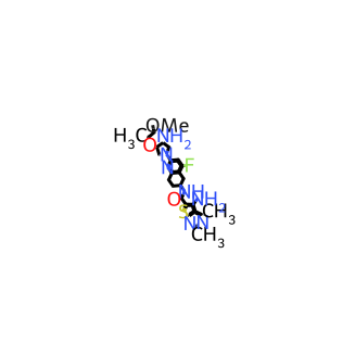 COCC(C)OC1CN(c2cc(F)c3c(n2)CCC(NC(=O)c2sc4nc(C)nc(C)c4c2N)C3)CC1N